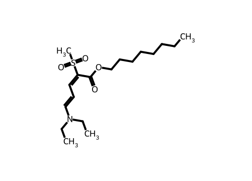 CCCCCCCCOC(=O)/C(=C\C=C\N(CC)CC)S(C)(=O)=O